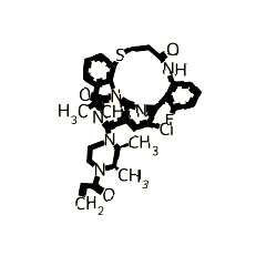 C=CC(=O)N1CCN(c2nc(=O)n3c4nc(c(Cl)cc24)-c2c(F)cccc2NC(=O)CCSc2cccc(C(C)C)c2-3)[C@@H](C)[C@H]1C